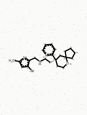 Cc1cc(Br)c(CNCC[C@@]2(c3ccccn3)CCOC3(CCCC3)C2)s1